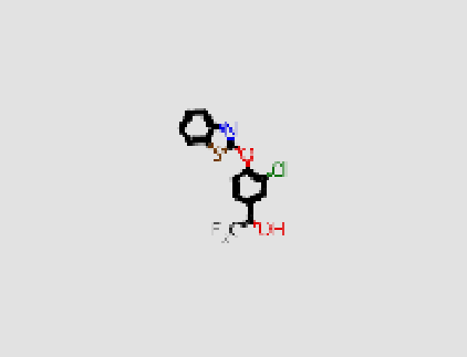 OC(c1ccc(Oc2nc3ccccc3s2)c(Cl)c1)C(F)(F)F